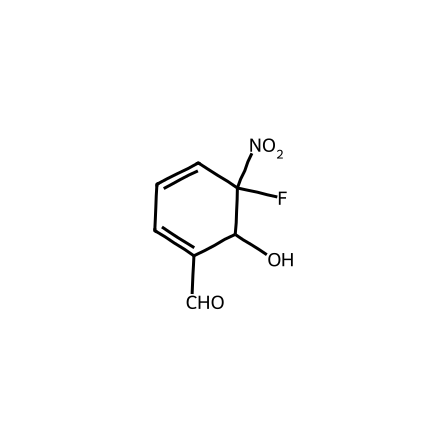 O=CC1=CC=CC(F)([N+](=O)[O-])C1O